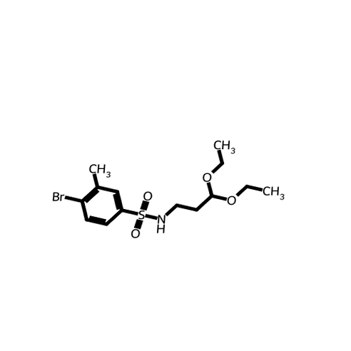 CCOC(CCNS(=O)(=O)c1ccc(Br)c(C)c1)OCC